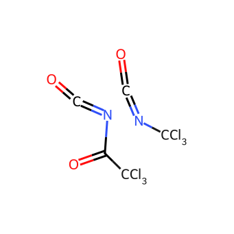 O=C=NC(=O)C(Cl)(Cl)Cl.O=C=NC(Cl)(Cl)Cl